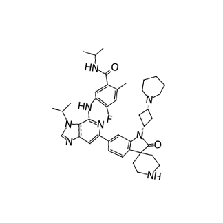 Cc1cc(F)c(Nc2nc(-c3ccc4c(c3)N([C@H]3C[C@@H](N5CCCCC5)C3)C(=O)C43CCNCC3)cc3ncn(C(C)C)c23)cc1C(=O)NC(C)C